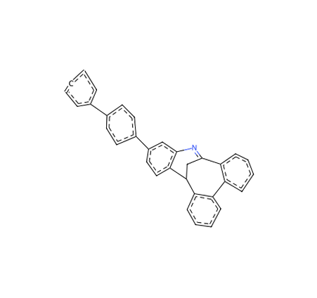 c1ccc(-c2ccc(-c3ccc4c(c3)N=C3CC4c4ccccc4-c4ccccc43)cc2)cc1